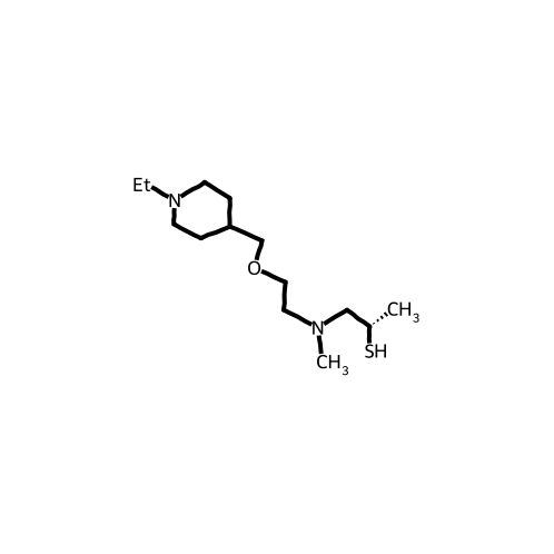 CCN1CCC(COCCN(C)C[C@H](C)S)CC1